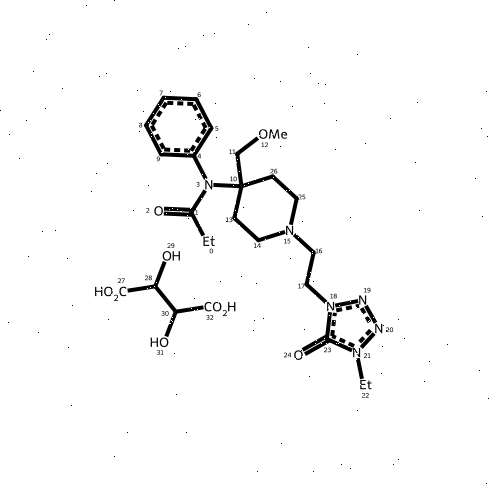 CCC(=O)N(c1ccccc1)C1(COC)CCN(CCn2nnn(CC)c2=O)CC1.O=C(O)C(O)C(O)C(=O)O